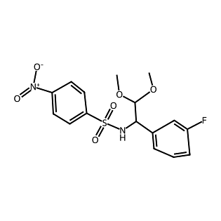 COC(OC)C(NS(=O)(=O)c1ccc([N+](=O)[O-])cc1)c1cccc(F)c1